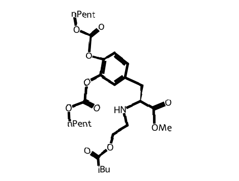 CCCCCOC(=O)Oc1ccc(C[C@H](NCCOC(=O)C(C)CC)C(=O)OC)cc1OC(=O)OCCCCC